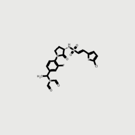 CC(c1ccc(N2CC[C@H](NS(=O)(=O)/C=C/c3ccc(Cl)s3)C2=O)c(F)c1)N(C=O)C=O